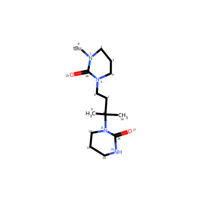 CC(C)(C)N1CCCN(CCC(C)(C)N2CCCNC2=O)C1=O